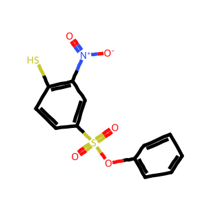 O=[N+]([O-])c1cc(S(=O)(=O)Oc2ccccc2)ccc1S